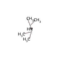 CCCCCCCCCCC(CCCCCCCCCC)CCCc1ccc(CCCC(CCCCCCCCCC)CCCCCCCCCC)[nH]1